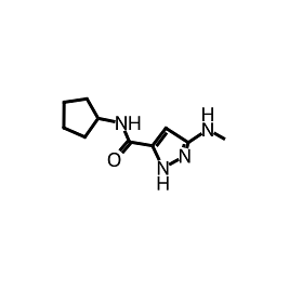 CNc1cc(C(=O)NC2CCCC2)[nH]n1